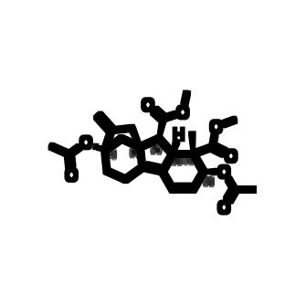 C=C1C[C@]23C[C@@]1(OC(C)=O)CCC2=C1C=C[C@H](OC(C)=O)[C@@](C)(C(=O)OC)[C@H]1[C@@H]3C(=O)OC